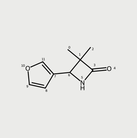 CC1(C)C(=O)NC1c1ccoc1